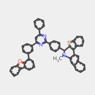 CN1c2cc3ccccc3cc2-c2c(sc3ccccc23)C1c1ccc(-c2nc(-c3ccccc3)cc(-c3cccc(-c4cccc5c4oc4ccccc45)c3)n2)cc1